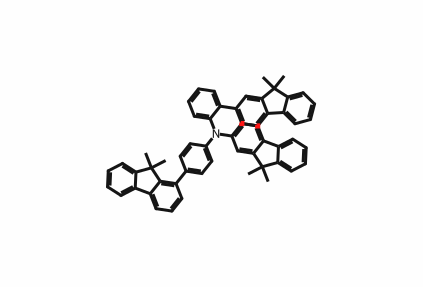 CC1(C)c2ccccc2-c2ccc(-c3ccccc3N(c3ccc(-c4cccc5c4C(C)(C)c4ccccc4-5)cc3)c3ccc4c(c3)C(C)(C)c3ccccc3-4)cc21